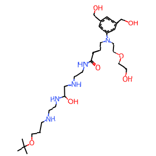 CC(C)(C)OCCCNCCNC(O)CNCCNC(=O)CCCN(CCOCCO)c1cc(CO)cc(CO)c1